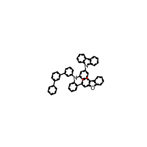 c1ccc(-c2cccc(-c3cccc(N(c4cccc(-n5c6ccccc6c6ccccc65)c4)c4ccccc4-c4ccc5c(c4)oc4ccccc45)c3)c2)cc1